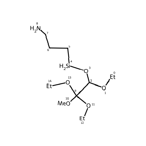 CCOC(O[SiH2]CCCN)C(OC)(OCC)OCC